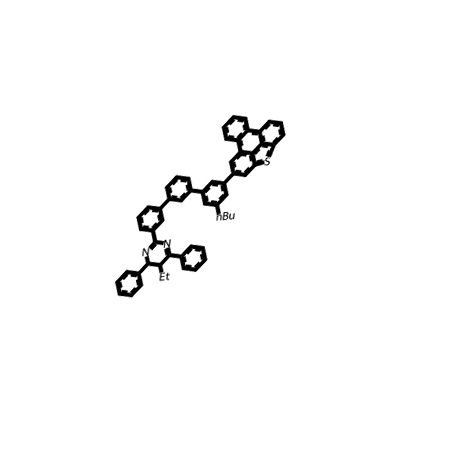 CCCCc1cc(-c2cccc(-c3cccc(C4=NC(c5ccccc5)C(CC)C(c5ccccc5)=N4)c3)c2)cc(-c2cc3sc4cccc5c6ccccc6c(c2)c3c45)c1